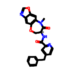 CN1C(=O)[C@@H](NC(=O)c2cc(Cc3ccccc3)ccn2)COc2cc3ncoc3cc21